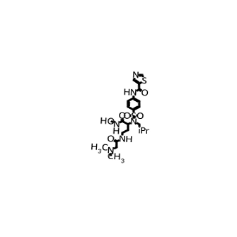 CC(C)CN(C(CCNC(=O)CN(C)C)C(=O)NO)S(=O)(=O)c1ccc(NC(=O)c2cncs2)cc1